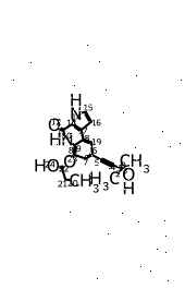 CC(C)(O)C#Cc1ccc2[nH]c(=O)c3[nH]ccc3c2c1.CCC(=O)O